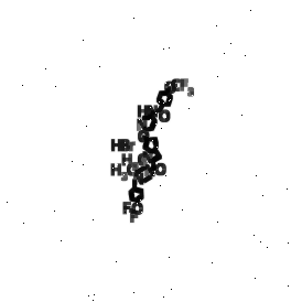 Br.CC1CN(C(=O)c2cc3ccc(Oc4ccc(NC(=O)c5ccc(OC(F)(F)F)cc5)cn4)cc3n2C)CCN1Cc1ccc(OC(F)F)cc1